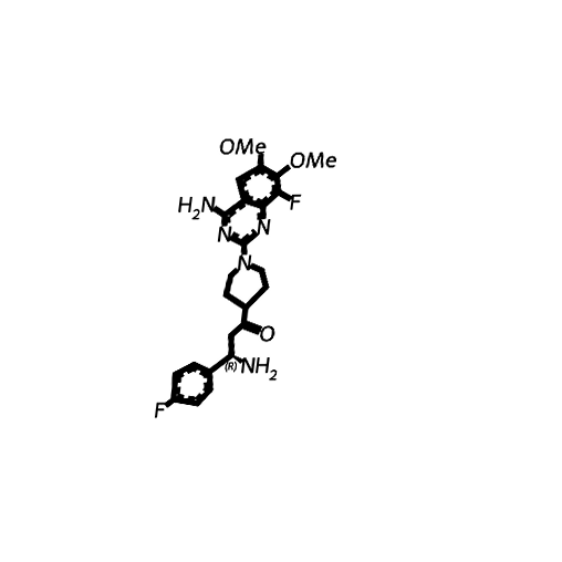 COc1cc2c(N)nc(N3CCC(C(=O)C[C@@H](N)c4ccc(F)cc4)CC3)nc2c(F)c1OC